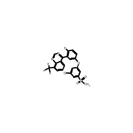 CS(=O)(=O)c1cc(Cl)cc(Oc2ccc(F)c(-c3ncnc4c(C(F)(F)F)cccc34)c2)c1